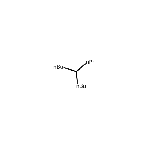 CC[CH]CC(CCC)CCCC